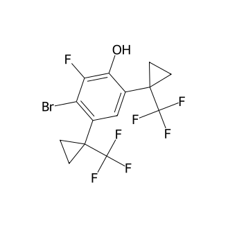 Oc1c(C2(C(F)(F)F)CC2)cc(C2(C(F)(F)F)CC2)c(Br)c1F